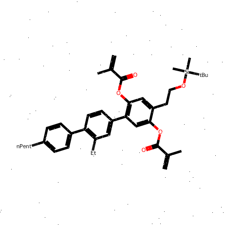 C=C(C)C(=O)Oc1cc(-c2ccc(-c3ccc(CCCCC)cc3)c(CC)c2)c(OC(=O)C(=C)C)cc1CCO[Si](C)(C)C(C)(C)C